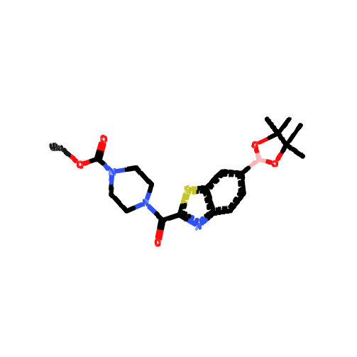 CC(C)(C)OC(=O)N1CCN(C(=O)c2nc3ccc(B4OC(C)(C)C(C)(C)O4)cc3s2)CC1